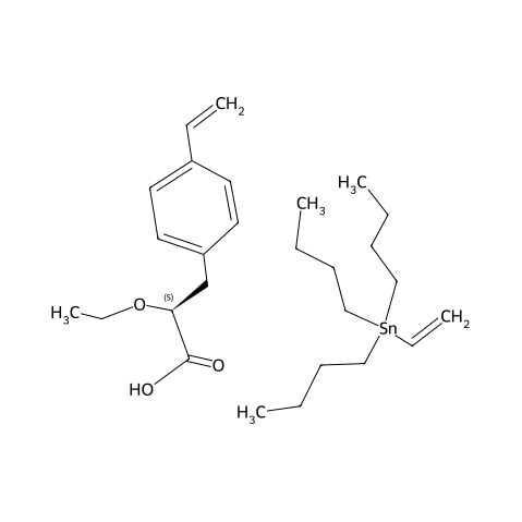 C=Cc1ccc(C[C@H](OCC)C(=O)O)cc1.C=[CH][Sn]([CH2]CCC)([CH2]CCC)[CH2]CCC